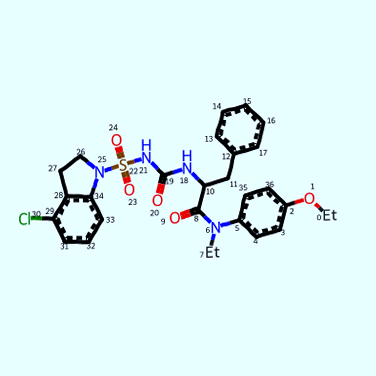 CCOc1ccc(N(CC)C(=O)C(Cc2ccccc2)NC(=O)NS(=O)(=O)N2CCc3c(Cl)cccc32)cc1